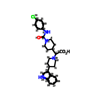 O=C(O)C(C1CCN(C(=O)Nc2ccc(Cl)cc2)CC1)N1CCC(c2c[nH]c3ccccc23)CC1